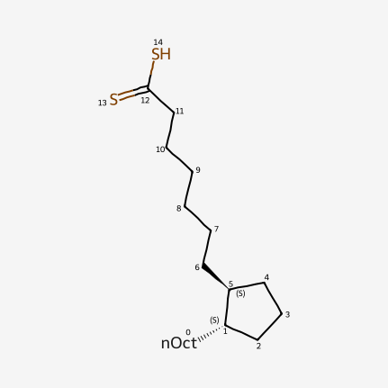 CCCCCCCC[C@H]1CCC[C@@H]1CCCCCCC(=S)S